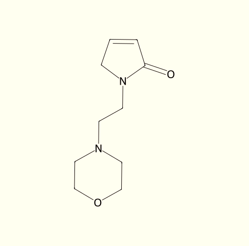 O=C1C=CCN1CCN1CCOCC1